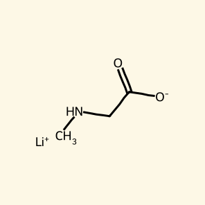 CNCC(=O)[O-].[Li+]